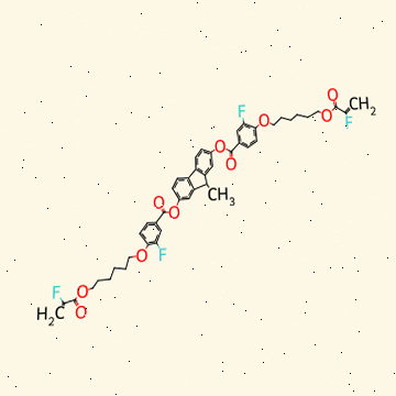 C=C(F)C(=O)OCCCCCCOc1ccc(C(=O)Oc2ccc3c(c2)C(C)c2cc(OC(=O)c4ccc(OCCCCCCOC(=O)C(=C)F)c(F)c4)ccc2-3)cc1F